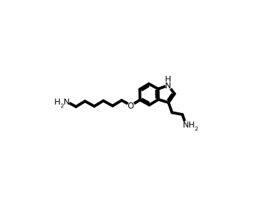 NCCCCCCOc1ccc2[nH]cc(CCN)c2c1